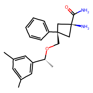 Cc1cc(C)cc([C@@H](C)OC[C@]2(c3ccccc3)C[C@@](N)(C(N)=O)C2)c1